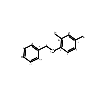 Cc1ccc(OCc2ccccc2)c(C)c1